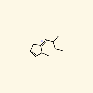 CCC(C)/N=C1/CC=CN1C